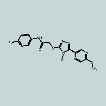 CCc1ccc(NC(=O)CSc2nnc(-c3ccc(OC(F)(F)F)nc3)n2CC)cc1